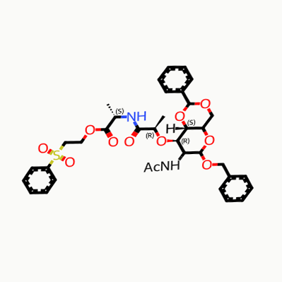 CC(=O)NC1C(OCc2ccccc2)OC2COC(c3ccccc3)O[C@H]2[C@@H]1O[C@H](C)C(=O)N[C@@H](C)C(=O)OCCS(=O)(=O)c1ccccc1